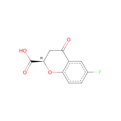 O=C1C[C@H](C(=O)O)Oc2ccc(F)cc21